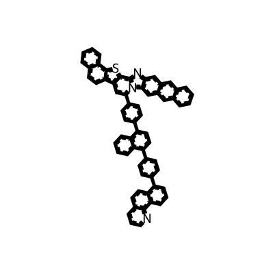 c1ccc2cc3cc4c(cc3cc2c1)nc1c2sc3c5ccccc5ccc3c2cc(-c2ccc(-c3ccc(-c5ccc(-c6cccc7c6ccc6cccnc67)cc5)c5ccccc35)cc2)n41